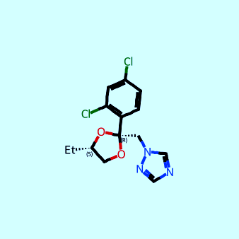 CC[C@H]1CO[C@](Cn2cncn2)(c2ccc(Cl)cc2Cl)O1